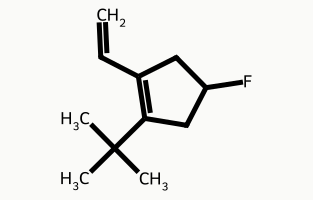 C=CC1=C(C(C)(C)C)CC(F)C1